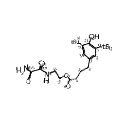 CC(C)(C)c1cc(CCCC(=O)OCCNC(=O)C(N)=O)cc(C(C)(C)C)c1O